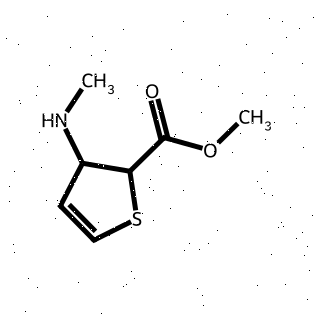 CNC1C=CSC1C(=O)OC